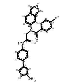 Nc1nc(-c2ccc(NC(=O)CN(C(=O)c3ccc(F)cc3)c3ccc4snnc4c3)cc2)cs1